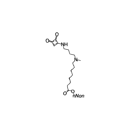 CCCCCCCCCOC(=O)CCCCCCCN(C)CCCCNc1cc(=O)c1=O